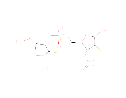 B[C@@H]1O[C@H](COP(=O)(O)O[C@@H]2C(F)[C@H](B)O[C@@H]2CO)C(OP(=O)(O)O)C1F